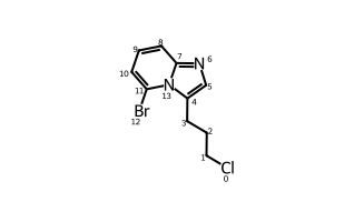 ClCCCc1cnc2cccc(Br)n12